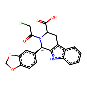 O=C(O)C1Cc2c([nH]c3ccccc23)[C@@H](c2ccc3c(c2)OCO3)N1C(=O)CCl